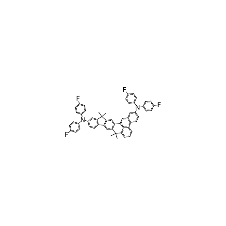 CC1(C)c2cc(N(c3ccc(F)cc3)c3ccc(F)cc3)ccc2-c2cc3c(cc21)-c1cc2cc(N(c4ccc(F)cc4)c4ccc(F)cc4)ccc2c2cccc(c12)C3(C)C